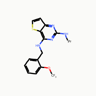 CC(C)Nc1nc(NCc2ccccc2OC(F)(F)F)c2sccc2n1